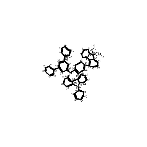 CC1(C)c2ccccc2-c2c(-c3ccc(N(c4cc(-c5ccccc5)cc(-c5ccccc5)c4)c4cccc5c4c4ccccc4n5-c4ccccc4)cc3)cccc21